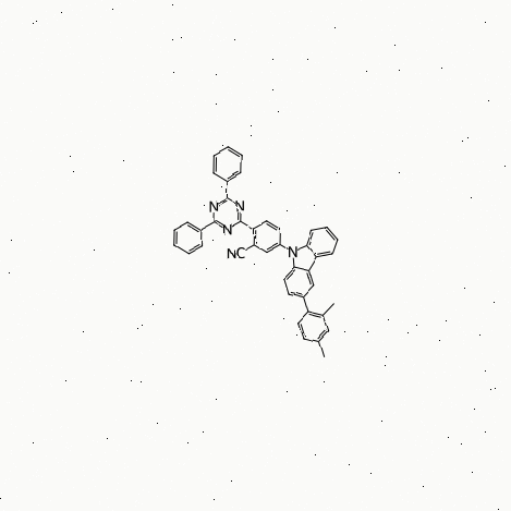 Cc1ccc(-c2ccc3c(c2)c2ccccc2n3-c2ccc(-c3nc(-c4ccccc4)nc(-c4ccccc4)n3)c(C#N)c2)c(C)c1